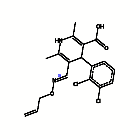 C=CCO/N=C/C1=C(C)NC(C)=C(C(=O)O)C1c1cccc(Cl)c1Cl